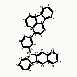 c1cc(-c2ccc3c4c(cccc24)-c2ccccc2-3)cc(-n2c3ccccc3c3cc4cccnc4cc32)c1